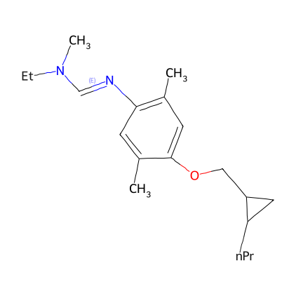 CCCC1CC1COc1cc(C)c(/N=C/N(C)CC)cc1C